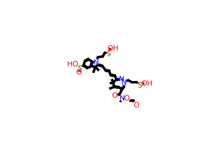 C/C1=C\C(C(=O)N(C)OCC=O)=C/N(CCCSO)/N=C(/C=C/C=C/C=C2/N(CCCSO)c3ccc(S(=O)O)cc3C2(C)C)C1(C)C